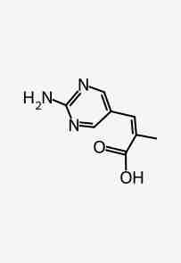 CC(=Cc1cnc(N)nc1)C(=O)O